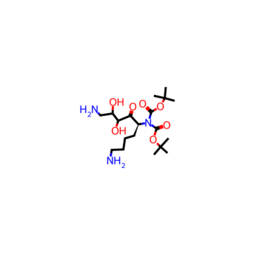 CC(C)(C)OC(=O)N(C(=O)OC(C)(C)C)[C@@H](CCCCN)C(=O)C(O)C(O)CN